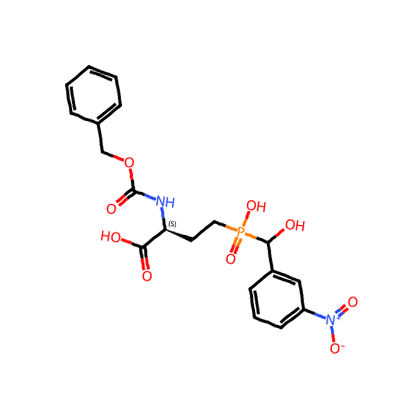 O=C(N[C@@H](CCP(=O)(O)C(O)c1cccc([N+](=O)[O-])c1)C(=O)O)OCc1ccccc1